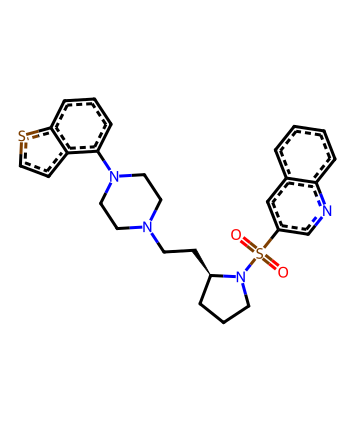 O=S(=O)(c1cnc2ccccc2c1)N1CCC[C@H]1CCN1CCN(c2cccc3sccc23)CC1